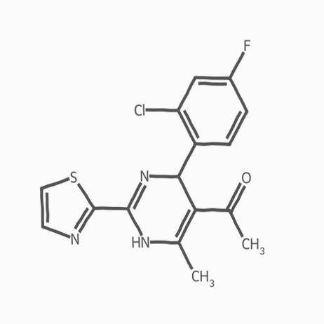 CC(=O)C1=C(C)NC(c2nccs2)=NC1c1ccc(F)cc1Cl